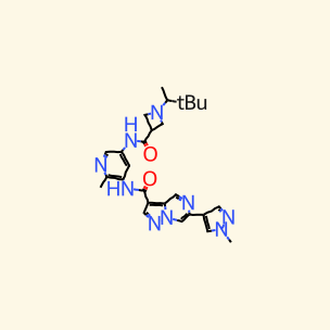 Cc1ncc(NC(=O)C2CN(C(C)C(C)(C)C)C2)cc1NC(=O)c1cnn2cc(-c3cnn(C)c3)ncc12